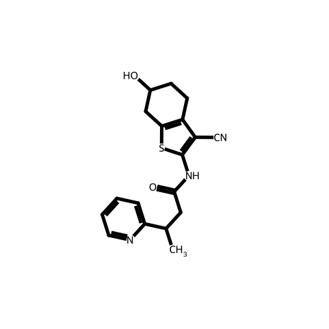 CC(CC(=O)Nc1sc2c(c1C#N)CCC(O)C2)c1ccccn1